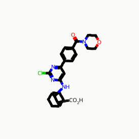 O=C(O)C1C2CCC(CC2)C1Nc1cc(-c2ccc(C(=O)N3CCOCC3)cc2)nc(Cl)n1